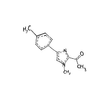 CC(=O)c1nc(-c2ccc(C)cc2)cn1C